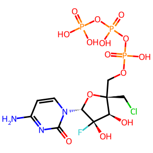 Nc1ccn([C@@H]2O[C@](CCl)(COP(=O)(O)OP(=O)(O)OP(=O)(O)O)[C@@H](O)[C@]2(O)F)c(=O)n1